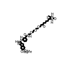 COc1cc2c(cc1OC)-c1n[nH]c(Nc3cccc(C(=O)NCCOCCOCCOCCC(=O)CCCCC4=C5NC(=O)NC5CS4)c3)c1C2